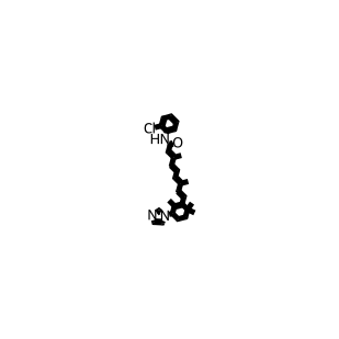 CC1=C(/C=C/C(C)=C/C=C/C(C)=C/C(=O)Nc2ccccc2Cl)C(C)(C)CCC1n1ccnc1